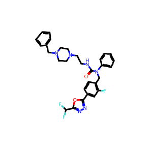 O=C(NCCN1CCN(Cc2ccccc2)CC1)N(Cc1ccc(-c2nnc(C(F)F)o2)cc1F)c1ccccc1